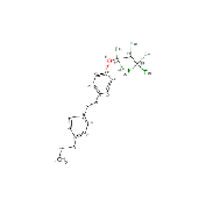 CCCc1ccc(CCc2ccc(OC(F)(F)C(F)C(F)(F)F)cc2)cc1